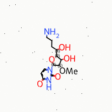 CO[C@H]1C(O)[C@@H]([C@H](O)CCCN)O[C@H]1n1ccc(=O)[nH]c1=O